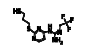 N/C(=N/CC(F)(F)F)Nc1ccnc(SCCCS)n1